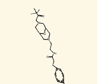 CC(C)(C)C(=O)CN1CC2CN(CCNC(=O)CCc3ccc(C#N)cc3)CC(C1)O2